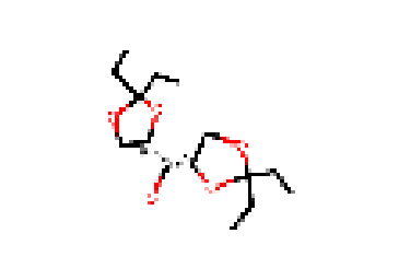 CCC1(CC)OC[C@@H](C(O)[C@@H]2COC(CC)(CC)O2)O1